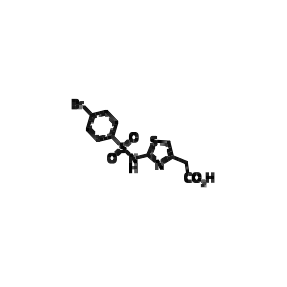 O=C(O)Cc1csc(NS(=O)(=O)c2ccc(Br)cc2)n1